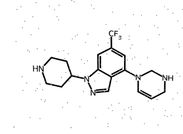 FC(F)(F)c1cc(N2C=CCNC2)c2cnn(C3CCNCC3)c2c1